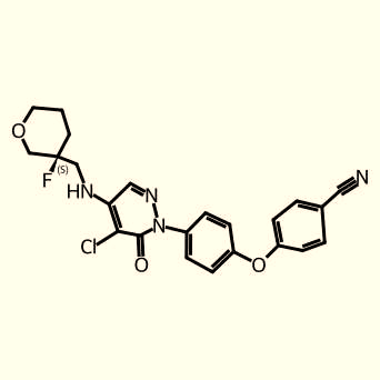 N#Cc1ccc(Oc2ccc(-n3ncc(NC[C@@]4(F)CCCOC4)c(Cl)c3=O)cc2)cc1